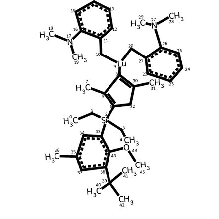 CC[Si](CC)(C1=C(C)[C]([Lu]([CH2]c2ccccc2N(C)C)[CH2]c2ccccc2N(C)C)=C(C)C1)c1cc(C)cc(C(C)(C)C)c1OC